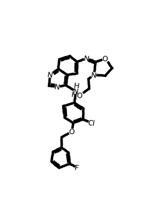 OCCN1CCOC1=Nc1ccc2ncnc(Nc3ccc(OCc4cccc(F)c4)c(Cl)c3)c2c1